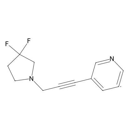 FC1(F)CCN(CC#Cc2c[c]cnc2)C1